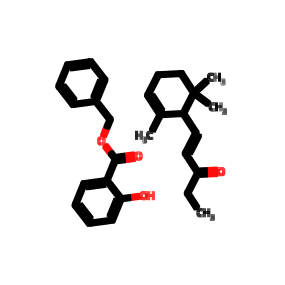 CCC(=O)/C=C/C1C(C)=CCCC1(C)C.O=C(OCc1ccccc1)c1ccccc1O